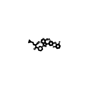 N#C/C(=C\CC1CC1)C(=O)N1CCC[C@@H](n2nc(-c3ccc(Oc4c(F)cccc4F)cc3)c3c(N)ncnc32)C1